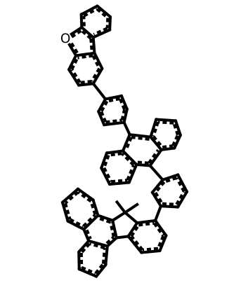 CC1(C)c2c(-c3cccc(-c4c5ccccc5c(-c5ccc(-c6ccc7oc8ccccc8c7c6)cc5)c5ccccc45)c3)cccc2-c2c1c1ccccc1c1ccccc21